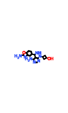 N=C(c1ccc2oc(N)nc2c1)c1c(N)ncnc1NC1CC(O)C1